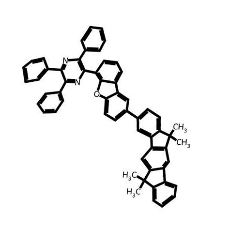 CC1(C)c2ccccc2-c2cc3c(cc21)-c1cc(-c2ccc4oc5c(-c6nc(-c7ccccc7)c(-c7ccccc7)nc6-c6ccccc6)cccc5c4c2)ccc1C3(C)C